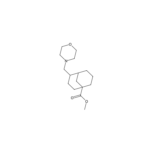 COC(=O)C12CCCC(C1)C(CN1CCOCC1)CC2